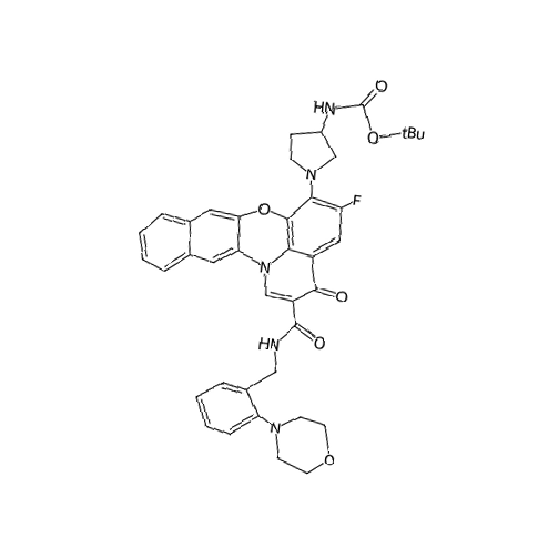 CC(C)(C)OC(=O)NC1CCN(c2c(F)cc3c(=O)c(C(=O)NCc4ccccc4N4CCOCC4)cn4c3c2Oc2cc3ccccc3cc2-4)C1